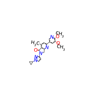 COc1cc(-c2cc(C)c3c(n2)CN(c2ccn(C4CC4)n2)C3=O)cnc1OC